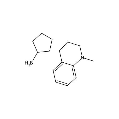 BC1CCCC1.CN1CCCc2ccccc21